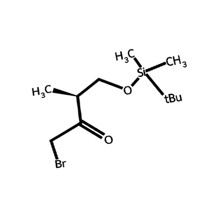 C[C@@H](CO[Si](C)(C)C(C)(C)C)C(=O)CBr